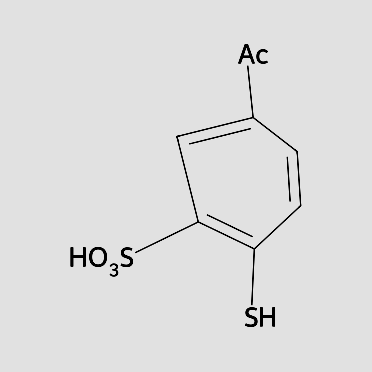 CC(=O)c1ccc(S)c(S(=O)(=O)O)c1